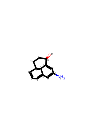 Nc1cc2c3c(cccc3c1)CCC2=O